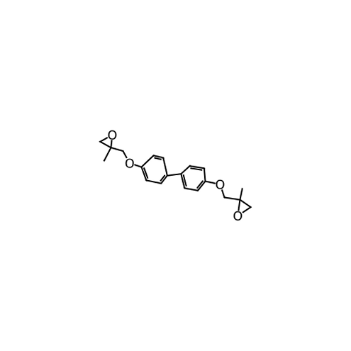 CC1(COc2ccc(-c3ccc(OCC4(C)CO4)cc3)cc2)CO1